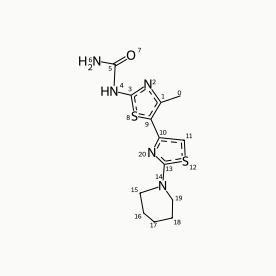 Cc1nc(NC(N)=O)sc1-c1csc(N2CCCCC2)n1